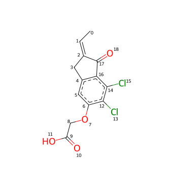 C/C=C1/Cc2cc(OCC(=O)O)c(Cl)c(Cl)c2C1=O